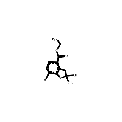 CCOC(=O)c1ccc(Br)c2c1CC(C)(C)O2